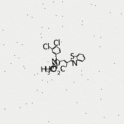 Cn1cc(/C=C(\CC(=O)O)c2nc3ccccc3s2)c(-c2ccc(Cl)c(Cl)c2)n1